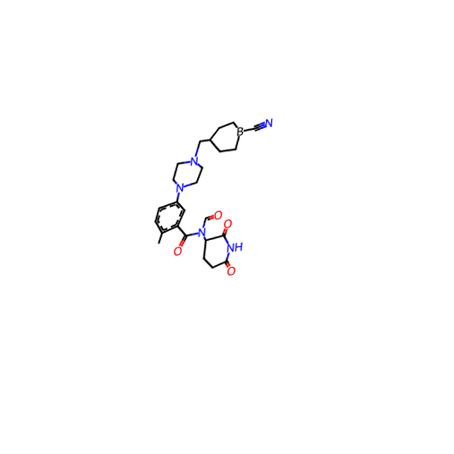 Cc1ccc(N2CCN(CC3CCB(C#N)CC3)CC2)cc1C(=O)N(C=O)C1CCC(=O)NC1=O